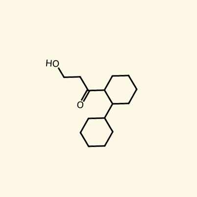 O=C(CCO)C1CCCCC1C1CCCCC1